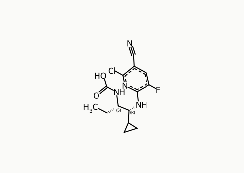 CC[C@H](NC(=O)O)[C@H](Nc1nc(Cl)c(C#N)cc1F)C1CC1